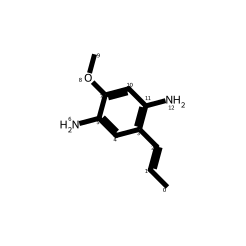 CC=Cc1cc(N)c(OC)cc1N